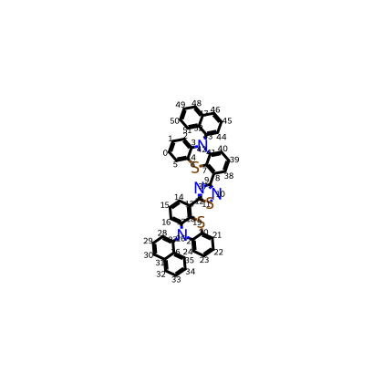 c1ccc2c(c1)Sc1c(-c3nsc(-c4cccc5c4Sc4ccccc4N5c4cccc5ccccc45)n3)cccc1N2c1cccc2ccccc12